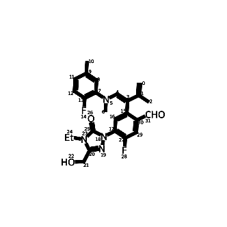 C=C(C)/C(=C/N(C)c1cc(C)ccc1F)c1cc(-n2nc(CO)n(CC)c2=O)c(F)cc1C=O